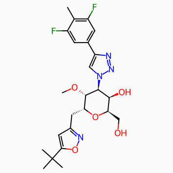 CO[C@@H]1[C@@H](n2cc(-c3cc(F)c(C)c(F)c3)nn2)[C@@H](O)[C@@H](CO)O[C@@H]1Cc1cc(C(C)(C)C)on1